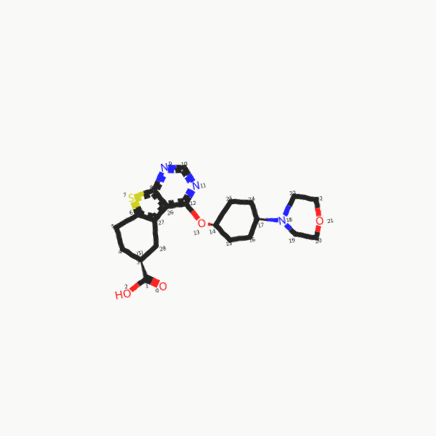 O=C(O)[C@H]1CCc2sc3ncnc(O[C@H]4CC[C@H](N5CCOCC5)CC4)c3c2C1